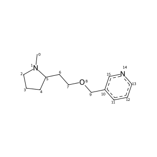 CN1CCCC1CCOCc1cccnc1